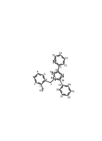 Fc1ccccc1Cn1nc(-c2ccccn2)nc1-c1ccccc1